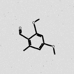 COc1cc(C)c(C=O)c(OC)c1